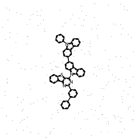 c1ccc(-c2cccc(-c3nc(-n4c5ccccc5c5cc(-c6ccc7c(c6)c6ccccc6n7-c6ccccc6)ccc54)c4sc5ccccc5c4n3)c2)cc1